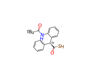 CC(C)(C)C(=O)Nc1ccccc1[C@@H](C(=O)S)c1ccccc1